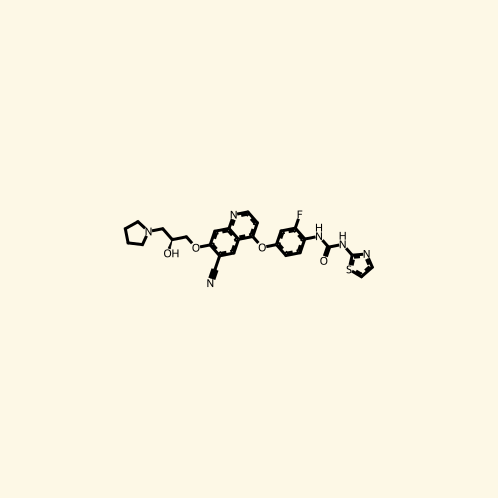 N#Cc1cc2c(Oc3ccc(NC(=O)Nc4nccs4)c(F)c3)ccnc2cc1OC[C@@H](O)CN1CCCC1